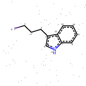 ICCCc1c[nH]c2ccccc12